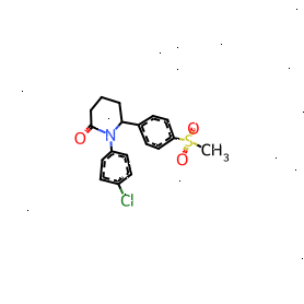 CS(=O)(=O)c1ccc(C2CCCC(=O)N2c2ccc(Cl)cc2)cc1